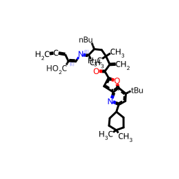 C=C=C/C(=C\N=C(/C)C(CCCC)CC(C)(C)C(=C)C(=O)c1cc2nc(C3CCC(C)(C)CC3)cc(C(C)(C)C)c2o1)C(=O)O